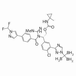 BC(B)(B)n1cnc(-c2cc([C@@H](COC(=O)NC3(C)CC3)N(C(=N)NC)C(=O)c3ccc(-c4cnn(C(F)F)c4)cc3)ccc2Cl)n1